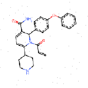 C=CC(=O)N1C(C2CCNCC2)=CC=C(C(N)=O)C1c1ccc(Oc2ccccc2)cc1